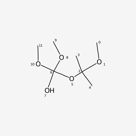 COC(C)(C)OC(O)(OC)OC